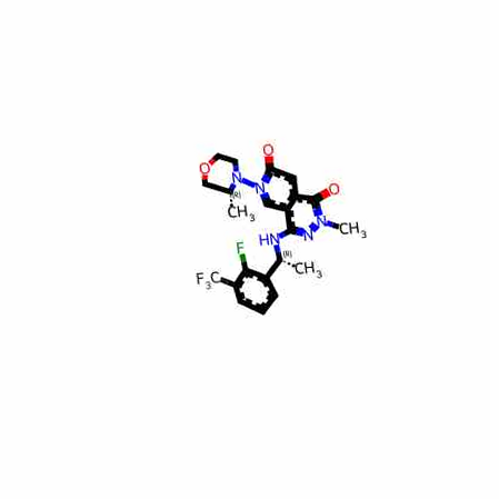 C[C@@H]1COCCN1n1cc2c(N[C@H](C)c3cccc(C(F)(F)F)c3F)nn(C)c(=O)c2cc1=O